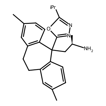 Cc1ccc2c(c1)CCc1cc(C)ccc1C2(C[C@@H](C)N)c1nnc(C(C)C)o1